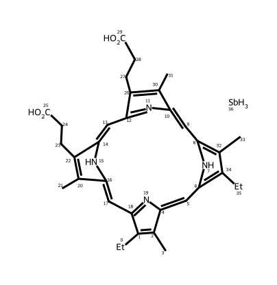 CCC1=C(C)c2cc3[nH]c(cc4nc(cc5[nH]c(cc1n2)c(C)c5CCC(=O)O)C(CCC(=O)O)=C4C)c(C)c3CC.[SbH3]